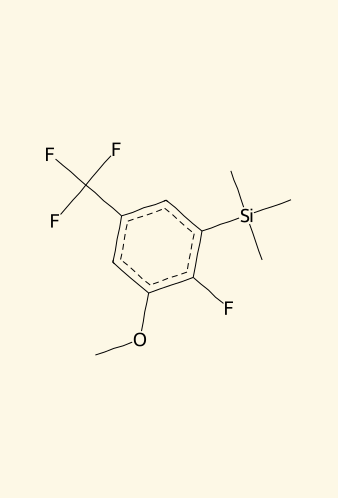 COc1cc(C(F)(F)F)cc([Si](C)(C)C)c1F